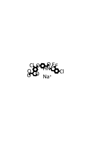 O=C(NCCc1ccc(Cl)cc1C(F)(F)F)c1ccc(Oc2cc3c(cc2Cl)C(C(=O)[O-])CCO3)cc1.[Na+]